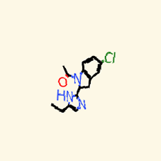 CCc1cnc(C2Cc3cc(Cl)ccc3N2C(C)=O)[nH]1